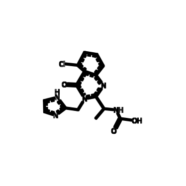 CC(NC(=O)O)c1nc2cccc(Cl)c2c(=O)n1Cc1ncc[nH]1